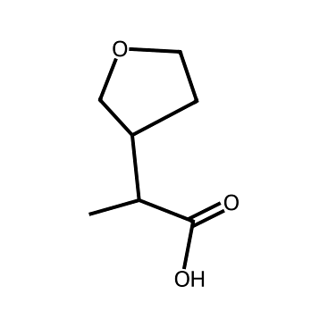 CC(C(=O)O)C1CCOC1